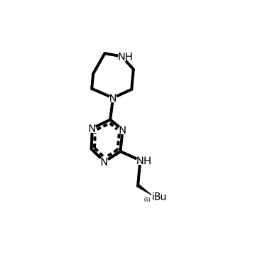 CC[C@H](C)CNc1ncnc(N2CCCNCC2)n1